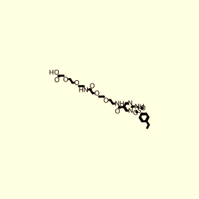 CCc1ccc(S(=O)(=O)Nc2ncc(C(=O)NCCOCCOCC(=O)NCCOCCOCC(=O)O)cn2)cc1